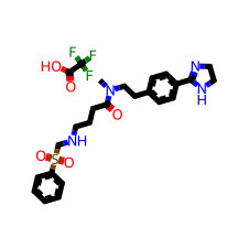 CN(CCc1ccc(C2=NCCN2)cc1)C(=O)CCCNCS(=O)(=O)c1ccccc1.O=C(O)C(F)(F)F